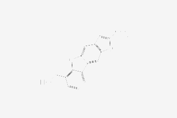 CCOC(=O)c1cc2cc3oc4c(CO)cccc4c3cc2o1